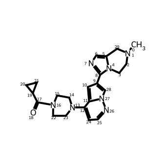 CN1CCn2c(cnc2-c2cc3c(N4CCN(C(=O)C5CC5)CC4)ccnn3c2)C1